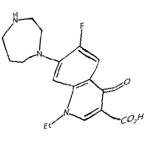 CCn1cc(C(=O)O)c(=O)c2cc(F)c(N3CCCNCC3)cc21